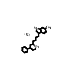 Cl.Oc1ccc2c(CCCCC3CC(c4ccccc4)=CCN3)c[nH]c2c1